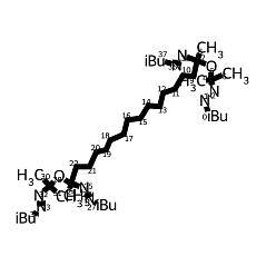 CCC(C)N=NC(C)(C)OC(C)(CCCCCCCCCCCCCCC(C)(N=NC(C)CC)OC(C)(C)N=NC(C)CC)N=NC(C)CC